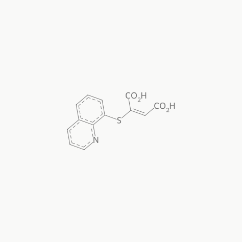 O=C(O)/C=C(/Sc1cccc2cccnc12)C(=O)O